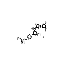 CCN(CC)CCN1CCN(c2cc(C)cc(Nc3ncn(-c4cc(F)cc(F)c4)n3)c2)CC1